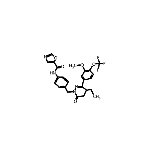 CCC1CC(=O)N(Cc2ccc(NC(=O)c3cnco3)cc2)N=C1c1ccc(OC(F)(F)F)c(OC)c1